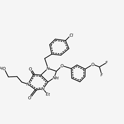 CCn1c2c(c(=O)n(CCCO)c1=O)N(Cc1ccc(Cl)cc1)C(Oc1cccc(OC(F)F)c1)N2